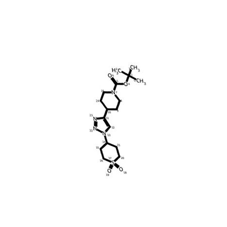 CC(C)(C)OC(=O)N1CCC(c2cn(C3CCS(=O)(=O)CC3)nn2)CC1